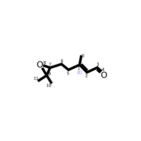 C/C(=C\C=O)CCC1OC1(C)C